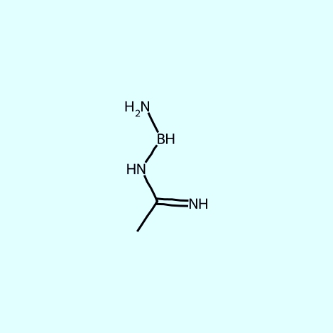 CC(=N)NBN